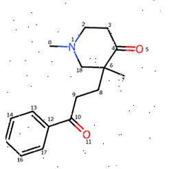 CN1CCC(=O)C(C)(CCC(=O)c2ccccc2)C1